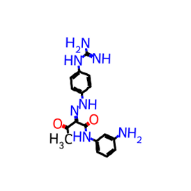 CC(=O)/C(=N/Nc1ccc(NC(=N)N)cc1)C(=O)Nc1cccc(N)c1